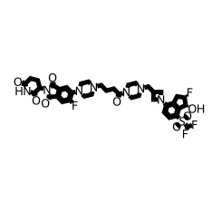 O=C1CCC(N2C(=O)c3cc(F)c(N4CCN(CCCC(=O)N5CCN(CC6CN(c7ccc(S(=O)(=O)C(F)F)c8c7C[C@@H](F)[C@H]8O)C6)CC5)CC4)cc3C2=O)C(=O)N1